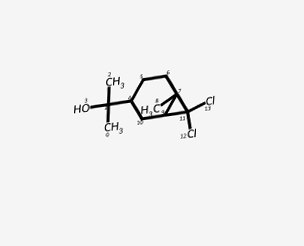 CC(C)(O)C1CCC2(C)C(C1)C2(Cl)Cl